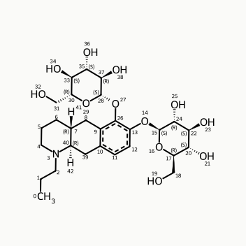 CCCN1CCC[C@@H]2Cc3c(ccc(O[C@@H]4O[C@H](CO)[C@@H](O)[C@H](O)[C@H]4O)c3O[C@@H]3O[C@H](CO)[C@@H](O)[C@H](O)[C@H]3O)C[C@H]21